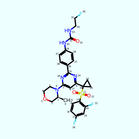 C[C@H]1COCCN1c1cc(C2(S(=O)(=O)c3ccc(F)cc3F)CC2)nc(-c2ccc(NC(=O)NCCF)cc2)n1